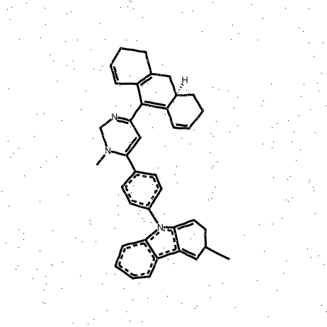 CC1C=c2c(n(-c3ccc(C4=CC(C5=C6C=CCC[C@@H]6CC6=C5C=CCC6)=NCN4C)cc3)c3ccccc23)=CC1